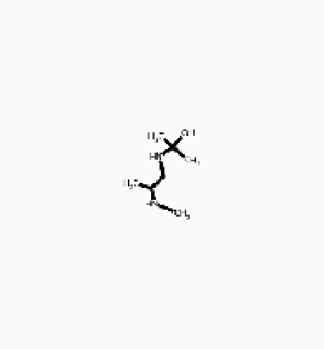 CNC(C)CNC(C)(C)O